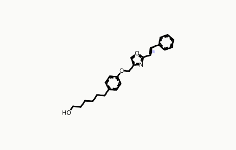 OCCCCCCc1ccc(OCc2coc(/C=C/c3ccccc3)n2)cc1